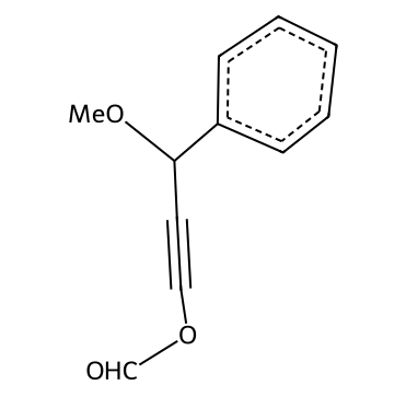 COC(C#COC=O)c1ccccc1